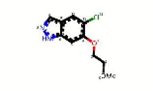 COCCOc1cc2[nH]ncc2cc1Cl